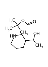 CC(C)(C)OC=O.CC(O)C1CCCNC1